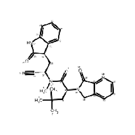 CN(C(=O)[C@H](CC(C)(C)C)N1Cc2cccnc2C1=O)[C@H](C#N)C[C@H]1C(=O)Nc2ccccc21